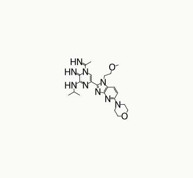 COCCn1c(-c2cn(C(C)=N)c(=N)c(NC(C)C)n2)nc2nc(N3CCOCC3)ccc21